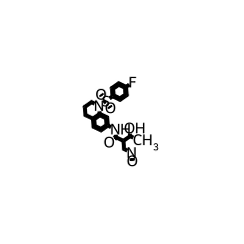 CC(O)C(CN=O)C(=O)Nc1ccc2c(c1)N(S(=O)(=O)c1ccc(F)cc1)CCC2